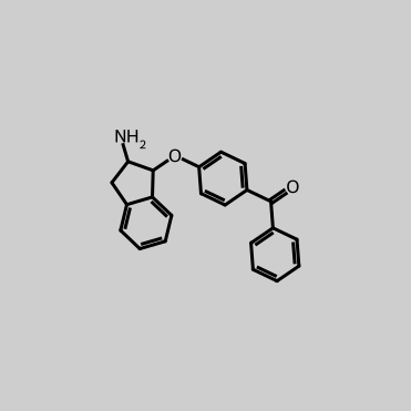 NC1Cc2ccccc2C1Oc1ccc(C(=O)c2ccccc2)cc1